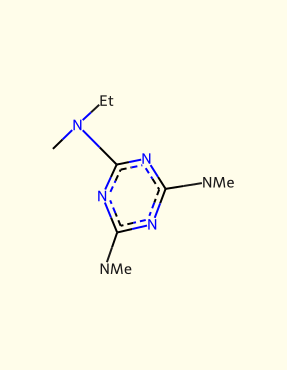 CCN(C)c1nc(NC)nc(NC)n1